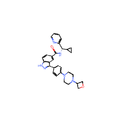 O=C(N[C@H](c1ccccn1)C1CC1)c1ccc2[nH]nc(-c3ccc(N4CCN(C5COC5)CC4)cc3)c2c1